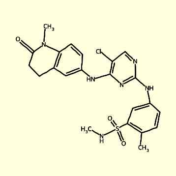 CNS(=O)(=O)c1cc(Nc2ncc(Cl)c(Nc3ccc4c(c3)CCC(=O)N4C)n2)ccc1C